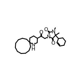 CN1C(=O)N(CC(=O)C2CCC3(CCCCCCCCCC3)NC2)C(=O)C1(C)C1C=CCCC1